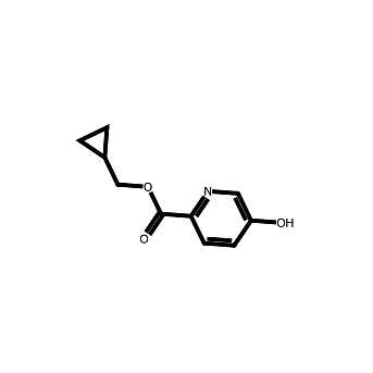 O=C(OCC1CC1)c1ccc(O)cn1